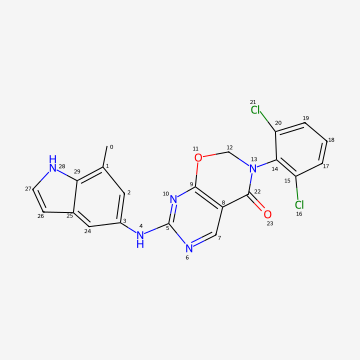 Cc1cc(Nc2ncc3c(n2)OCN(c2c(Cl)cccc2Cl)C3=O)cc2cc[nH]c12